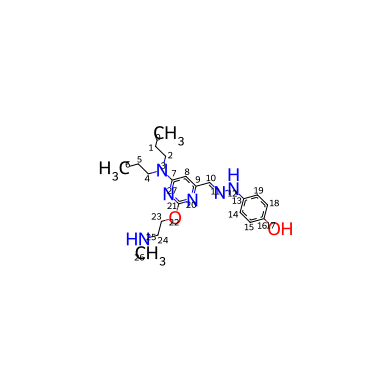 CCCN(CCC)c1cc(/C=N/Nc2ccc(O)cc2)nc(OCCNC)n1